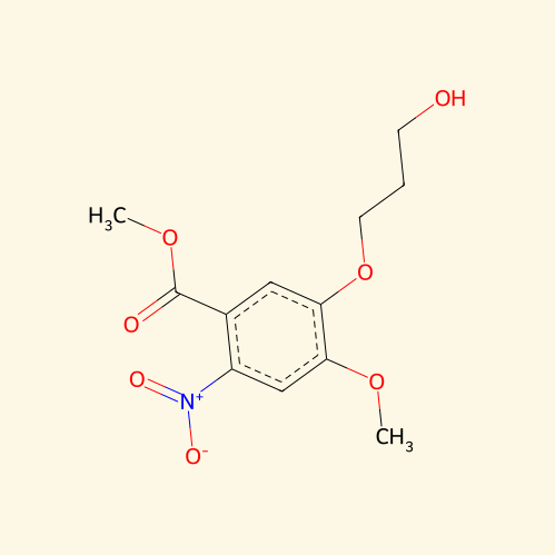 COC(=O)c1cc(OCCCO)c(OC)cc1[N+](=O)[O-]